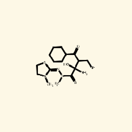 CC(C)CC(C(=O)C1CCCCC1)C(N)(O)C(=O)N(C)N=C1SCCN1C